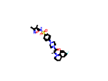 Cc1noc(NS(=O)(=O)c2ccc(N3CCN(C(=O)[C@H](C)N4CCCc5cc(F)ccc54)CC3)cc2)c1C